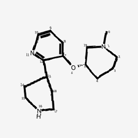 CN1CCC[C@H](Oc2cccnc2C2CCNCC2)C1